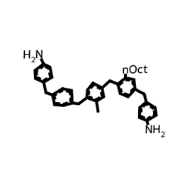 CCCCCCCCc1cc(Cc2ccc(N)cc2)ccc1Cc1ccc(Cc2ccc(Cc3ccc(N)cc3)cc2)c(C)c1